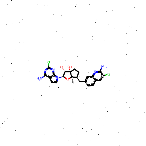 Nc1nc2cc(C[C@@H]3CC[C@@]4(O)[C@@H]3O[C@@H](n3ccc5c(N)nc(Cl)nc53)[C@@H]4O)ccc2cc1Cl